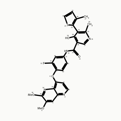 COc1cc2nccc(Oc3ccc(NC(=O)c4cnc(C)c(-c5sccc5C)c4O)cc3F)c2nc1OC